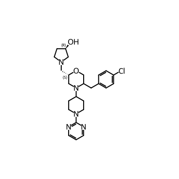 O[C@@H]1CCN(C[C@H]2CN(C3CCN(c4ncccn4)CC3)C(Cc3ccc(Cl)cc3)CO2)C1